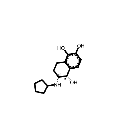 Oc1ccc2c(c1O)CC[C@@H](NC1CCCC1)[C@H]2O